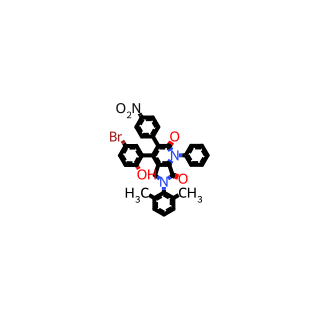 Cc1cccc(C)c1N1Cc2c(-c3cc(Br)ccc3O)c(-c3ccc([N+](=O)[O-])cc3)c(=O)n(-c3ccccc3)c2C1=O